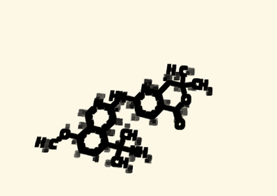 COc1ccc(C(C)(C)N)c2cc(Nc3ccc4c(n3)CC(C)(C)OC4=O)ncc12